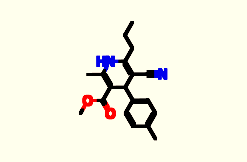 CCCC1=C(C#N)C(c2ccc(C)cc2)C(C(=O)OC)=C(C)N1